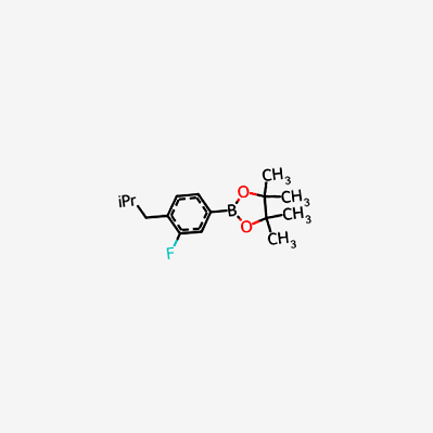 CC(C)Cc1ccc(B2OC(C)(C)C(C)(C)O2)cc1F